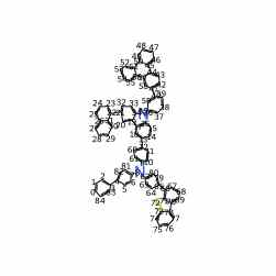 c1ccc(-c2ccc(N(c3ccc(-c4ccc5c(c4)c4cc(-c6cccc7ccccc67)ccc4n5-c4cccc(-c5ccc6c7ccccc7c7ccccc7c6c5)c4)cc3)c3ccc(-c4cccc5c4sc4ccccc45)cc3)cc2)cc1